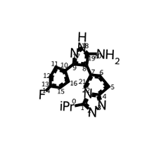 CC(C)c1nnc2ccc(-c3c(-c4ccc(F)cc4)n[nH]c3N)cn12